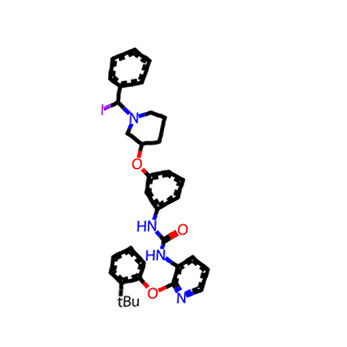 CC(C)(C)c1ccccc1Oc1ncccc1NC(=O)Nc1cccc(OC2CCCN(C(I)c3ccccc3)C2)c1